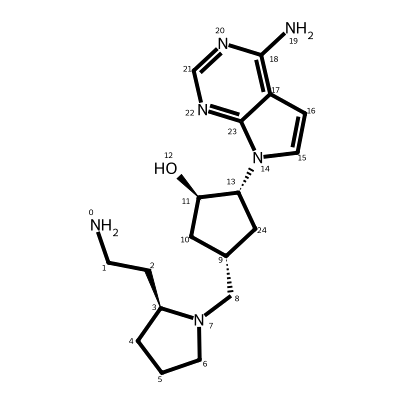 NCC[C@@H]1CCCN1C[C@@H]1C[C@@H](O)[C@H](n2ccc3c(N)ncnc32)C1